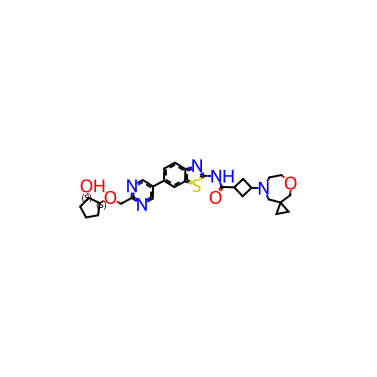 O=C(Nc1nc2ccc(-c3cnc(CO[C@H]4CCC[C@@H]4O)nc3)cc2s1)C1CC(N2CCOCC3(CC3)C2)C1